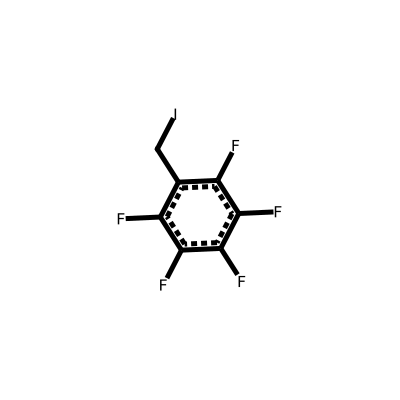 Fc1c(F)c(F)c(CI)c(F)c1F